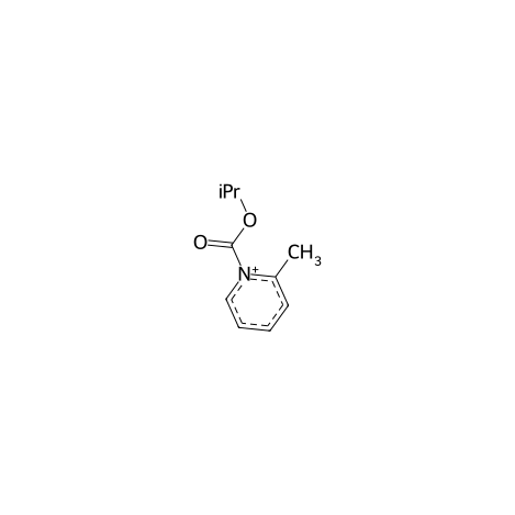 Cc1cccc[n+]1C(=O)OC(C)C